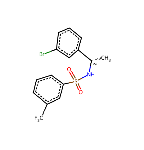 C[C@H](NS(=O)(=O)c1cccc(C(F)(F)F)c1)c1cccc(Br)c1